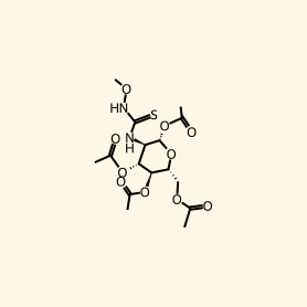 CONC(=S)N[C@H]1[C@H](OC(C)=O)O[C@H](COC(C)=O)[C@@H](OC(C)=O)[C@@H]1OC(C)=O